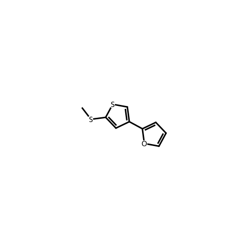 CSc1cc(-c2ccco2)cs1